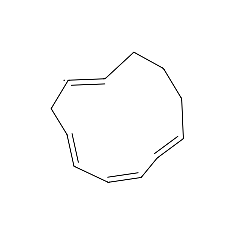 [C]1=C/CCC/C=C/C=C\C=C\C/1